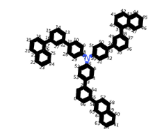 c1cc(-c2ccc(N(c3ccc(-c4cccc(-c5cccc6ccccc56)c4)cc3)c3ccc(-c4cccc(-c5cccc6ccccc56)c4)cc3)cc2)cc(-c2ccc3ccccc3c2)c1